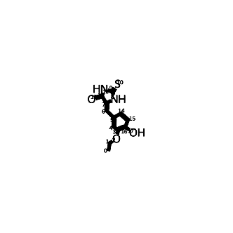 CCOc1cc(/C=C2\NC(=S)NC2=O)ccc1O